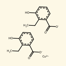 CCc1c(O)cccc1C(=O)[O-].CCc1c(O)cccc1C(=O)[O-].[Cu+2]